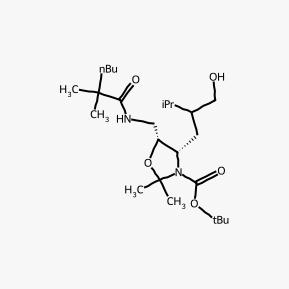 CCCCC(C)(C)C(=O)NC[C@H]1OC(C)(C)N(C(=O)OC(C)(C)C)[C@H]1CC(CO)C(C)C